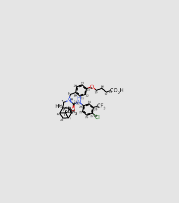 CC1(C)C2CC[C@H](CN(Cc3ccc(OCCCC(=O)O)cc3)C(=O)Nc3ccc(Cl)c(C(F)(F)F)c3)C1C2